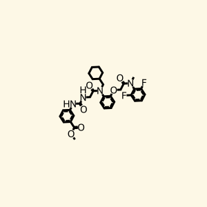 COC(=O)c1cccc(NC(=O)NCC(=O)N(CC2CCCCC2)c2ccccc2OCC(=O)N(C)c2c(F)cccc2F)c1